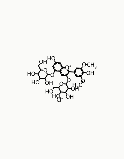 COc1cc(-c2[o+]c3cc(O)cc(OC4OC(CO)C(O)C(O)C4O)c3cc2OC2OC(CO)C(O)C(O)C2O)cc(OC)c1O.[Cl-]